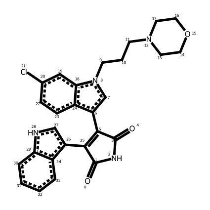 O=C1NC(=O)C(c2cn(CCCN3CCOCC3)c3cc(Cl)ccc23)=C1c1c[nH]c2ccccc12